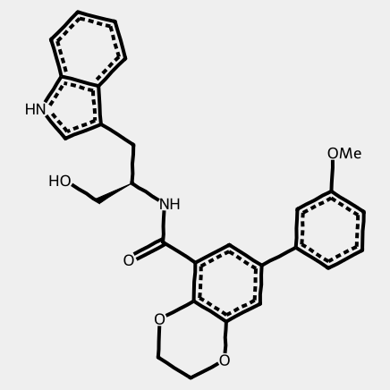 COc1cccc(-c2cc3c(c(C(=O)N[C@@H](CO)Cc4c[nH]c5ccccc45)c2)OCCO3)c1